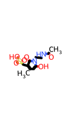 CC(=O)NCCn1c(O)cc(C)c(CS(=O)(=O)O)c1=O